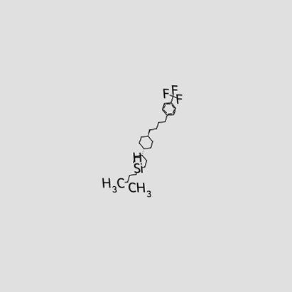 CC(C)CC[SiH]1CCC([C@H]2CC[C@H](CCCCc3ccc(C(F)(F)F)cc3)CC2)CC1